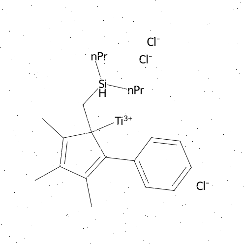 CCC[SiH](CCC)C[C]1([Ti+3])C(C)=C(C)C(C)=C1c1ccccc1.[Cl-].[Cl-].[Cl-]